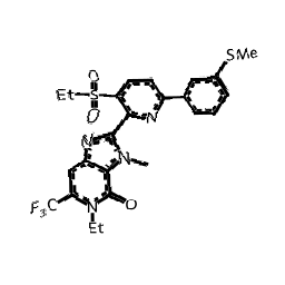 CCn1c(C(F)(F)F)cc2nc(-c3nc(-c4cccc(SC)c4)ccc3S(=O)(=O)CC)n(C)c2c1=O